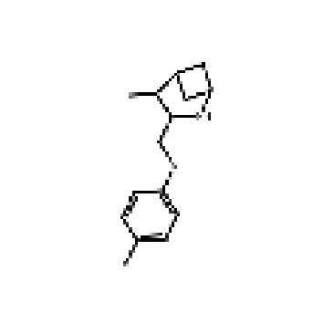 CC1C2CC(C2)NC1CNc1ccc(F)cc1